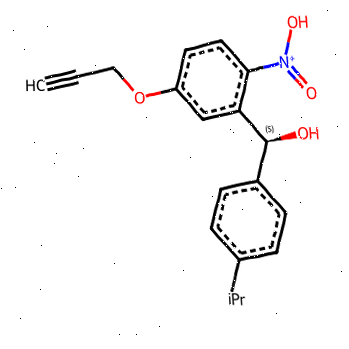 C#CCOc1ccc([N+](=O)O)c([C@@H](O)c2ccc(C(C)C)cc2)c1